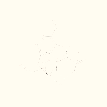 N=CN1CC[C@]23c4c5ccc(N=O)c4O[C@H]2C(=O)CC[C@@]3(N=O)[C@H]1C5